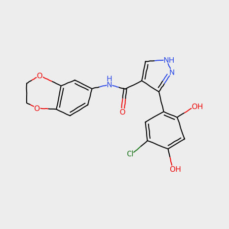 O=C(Nc1ccc2c(c1)OCCO2)c1c[nH]nc1-c1cc(Cl)c(O)cc1O